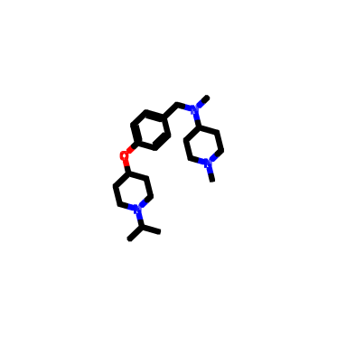 CC(C)N1CCC(Oc2ccc(CN(C)C3CCN(C)CC3)cc2)CC1